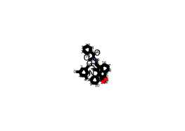 Cc1cc(C)c(N2c3ccccc3C3(c4ccccc4-c4ccccc43)c3cc(/C=C4\C(=O)Oc5ccccc5C4=O)sc32)c(C)c1